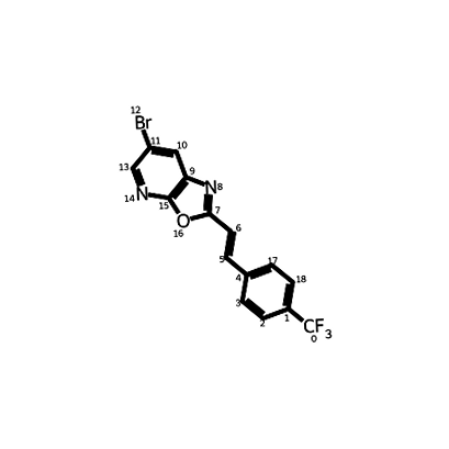 FC(F)(F)c1ccc(/C=C/c2nc3cc(Br)cnc3o2)cc1